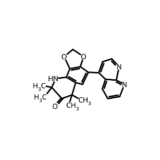 CC1(C)Nc2c(cc(-c3ccnc4ncccc34)c3c2OCO3)C(C)(C)C1=O